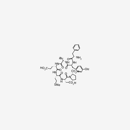 CC[C@H](C)[C@H](NC(=O)[C@H](Cc1ccc(O)cc1)NC(=O)[C@@H](N)Cc1ccccc1)C(=O)N[C@@H](CCC(=O)O)C(=O)N[C@@H](CCSC)C(=O)N[C@@H](CC(=O)O)C(=O)N1CCC[C@H]1C(=O)O